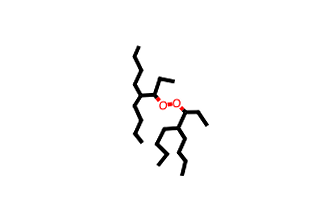 CCCCC(CCCC)C(CC)OOC(CC)C(CCCC)CCCC